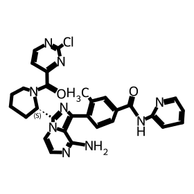 Cc1cc(C(=O)Nc2ccccn2)ccc1-c1nc([C@@H]2CCCCN2C(=O)c2ccnc(Cl)n2)n2ccnc(N)c12